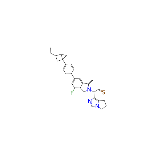 C=C1c2cc(-c3ccc(C45CC(CC)C4C5)cc3)cc(F)c2CN1C(C=S)c1ncn2c1CCC2